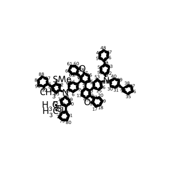 CSc1cc(N(c2ccc(-c3c(-c4ccc5oc6ccccc6c5c4-c4ccc(N(c5ccc(-c6ccccc6)cc5)c5ccc(-c6ccccc6)cc5)cc4)ccc4oc5ccccc5c34)cc2)c2ccc3c(c2)[Si](C)(C)c2ccccc2-3)ccc1-c1ccccc1C